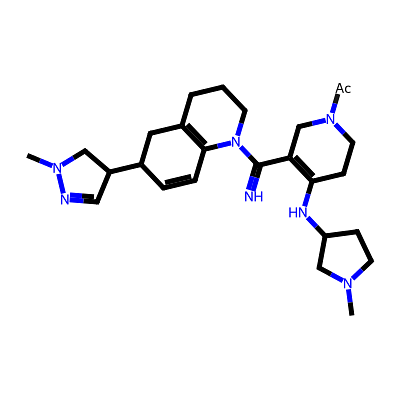 CC(=O)N1CCC(NC2CCN(C)C2)=C(C(=N)N2CCCC3=C2C=CC(C2C=NN(C)C2)C3)C1